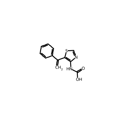 C=C(c1ccccc1)c1scnc1NC(=O)O